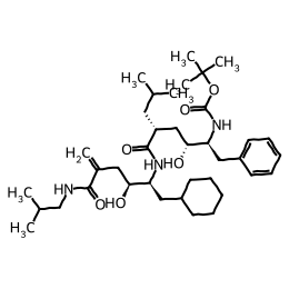 C=C(C[C@H](O)[C@H](CC1CCCCC1)NC(=O)[C@H](CC(C)C)C[C@@H](O)[C@H](Cc1ccccc1)NC(=O)OC(C)(C)C)C(=O)NCC(C)C